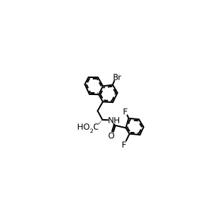 O=C(N[C@@H](Cc1ccc(Br)c2ccccc12)C(=O)O)c1c(F)cccc1F